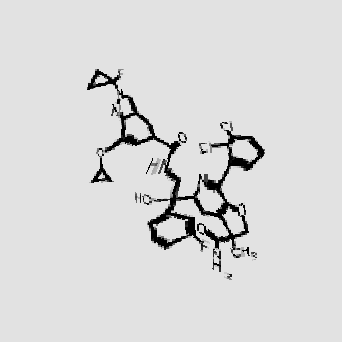 C[C@]1(C(N)=O)COc2c1cc([C@@](O)(CNC(=O)c1cc(OC3CC3)c3nn(C4(F)CC4)cc3c1)c1cccc(F)c1)nc2-c1cccc(Cl)c1Cl